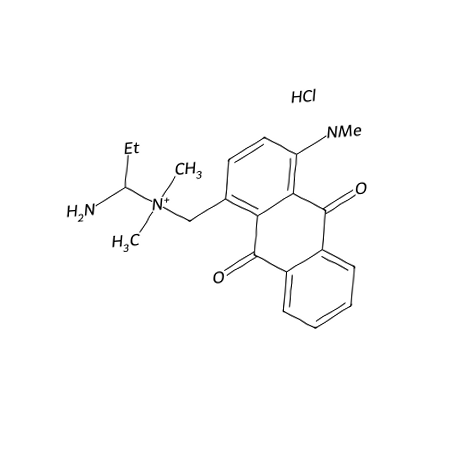 CCC(N)[N+](C)(C)Cc1ccc(NC)c2c1C(=O)c1ccccc1C2=O.Cl